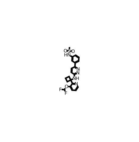 CS(=O)(=O)Nc1cccc(-c2ccc(NC3(c4ncccc4OC(F)F)CCC3)nn2)c1